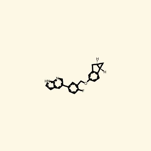 Fc1ccc(-c2cnc3[nH]ccc3c2)cc1COc1ccc2c(c1)C[C@H]1C[C@H]21